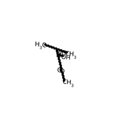 CCCCCCCCCCC(CCCCCCCC)C[C@H](O)CN(CCCO)CCCCCCCCCCC(=O)OCCCCCCCC